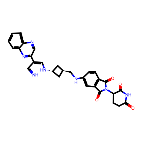 N=C/C(=C\N[C@H]1C[C@H](CNc2ccc3c(c2)C(=O)N(C2CCC(=O)NC2=O)C3=O)C1)c1cnc2ccccc2n1